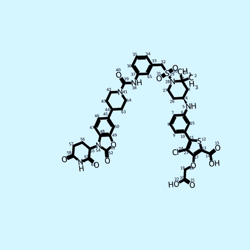 CC1(C)C[C@@H](Nc2cccc(-c3sc(C(=O)O)c(OCC(=O)O)c3Cl)c2)CCN1S(=O)(=O)Cc1cccc(NC(=O)N2CCC(c3ccc4c(c3)oc(=O)n4C3CCC(=O)NC3=O)CC2)c1